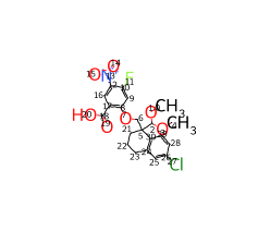 COC(OC)C1(COc2cc(F)c([N+](=O)[O-])cc2C(=O)O)CCCc2cc(Cl)ccc21